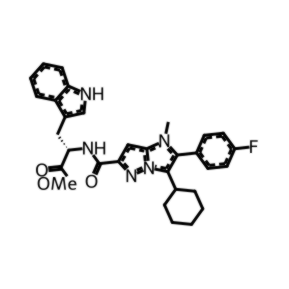 COC(=O)[C@H](Cc1c[nH]c2ccccc12)NC(=O)c1cc2n(C)c(-c3ccc(F)cc3)c(C3CCCCC3)n2n1